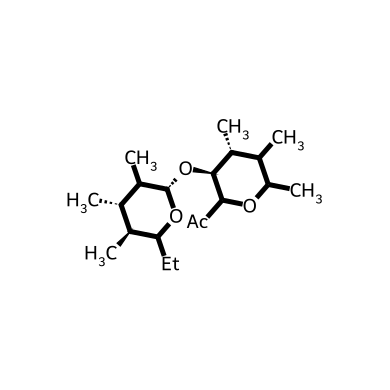 CCC1O[C@@H](O[C@@H]2C(C(C)=O)OC(C)C(C)[C@H]2C)C(C)[C@@H](C)[C@@H]1C